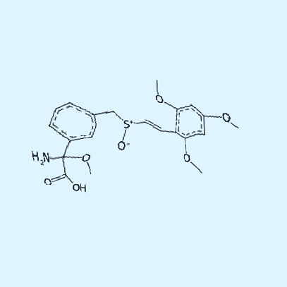 COc1cc(OC)c(C=C[S+]([O-])Cc2cccc(C(N)(OC)C(=O)O)c2)c(OC)c1